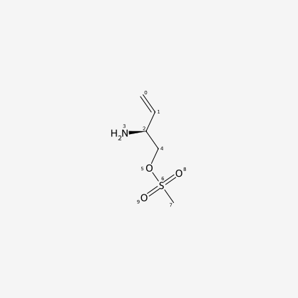 C=C[C@H](N)COS(C)(=O)=O